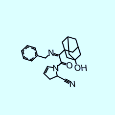 N#CC1CC=CN1C(=O)/C(=N\Cc1ccccc1)C12CC3CC(CC(O)(C3)C1)C2